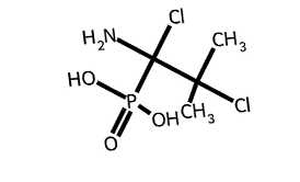 CC(C)(Cl)C(N)(Cl)P(=O)(O)O